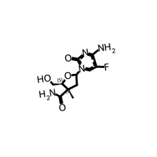 C[C@]1(C(N)=O)CC(n2cc(F)c(N)nc2=O)O[C@@H]1CO